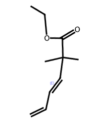 C=C/C=C/C(C)(C)C(=O)OCC